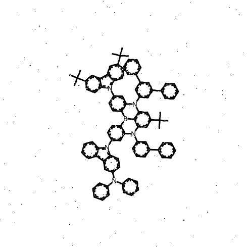 CC(C)(C)c1cc2c3c(c1)N(c1cc(-c4ccccc4)cc(-c4ccccc4)c1)c1cc(-n4c5ccc(C(C)(C)C)cc5c5cc(C(C)(C)C)ccc54)ccc1B3c1ccc(-n3c4ccccc4c4cc(N(c5ccccc5)c5ccccc5)ccc43)cc1N2c1cccc(-c2ccccc2)c1